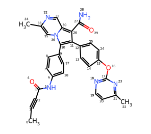 CC#CC(=O)Nc1ccc(-c2c(-c3ccc(Oc4nccc(C)n4)cc3)c(C(N)=O)c3cnc(C)cn23)cc1